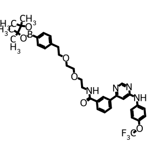 CC1(C)OB(c2ccc(CCOCCOCCNC(=O)c3cccc(-c4cc(Nc5ccc(OC(F)(F)F)cc5)ncn4)c3)cc2)OC1(C)C